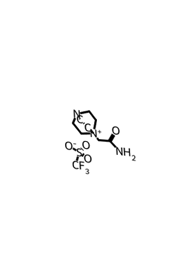 NC(=O)C[N+]12CCN(CC1)CC2.O=S(=O)([O-])C(F)(F)F